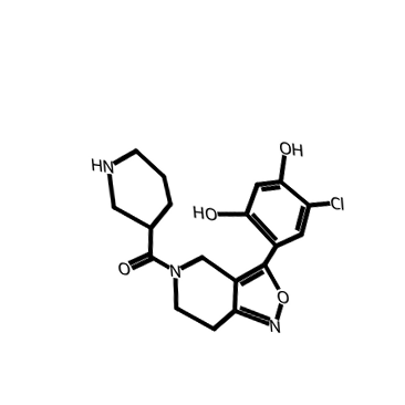 O=C(C1CCCNC1)N1CCc2noc(-c3cc(Cl)c(O)cc3O)c2C1